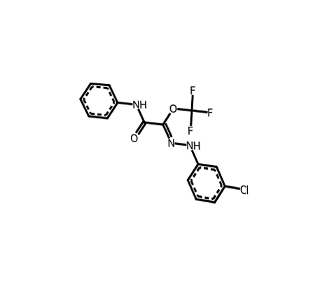 O=C(Nc1ccccc1)C(=NNc1cccc(Cl)c1)OC(F)(F)F